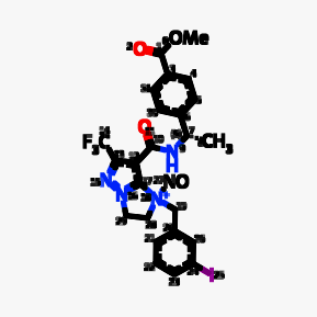 COC(=O)c1ccc([C@H](C)NC(=O)c2c(C(F)(F)F)nn3c2[N+](Cc2cccc(I)c2)(N=O)CC3)cc1